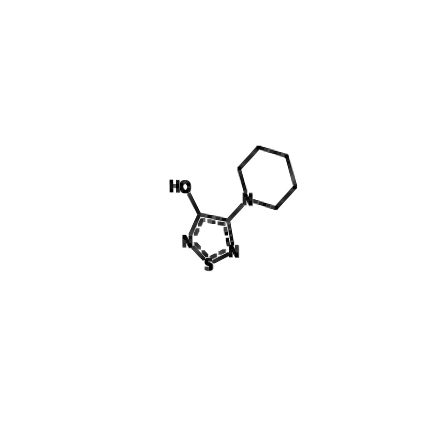 Oc1nsnc1N1CCCCC1